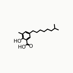 Cc1cc(CCCCCCC(C)C)cc(C(=O)O)c1O